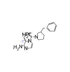 C=C(N1CCCC(Cc2ccccc2)C1)N1C=CN=C(N)/C1=C/C(C)C